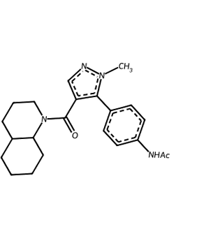 CC(=O)Nc1ccc(-c2c(C(=O)N3CCCC4CCCCC43)cnn2C)cc1